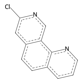 Clc1cc2ccc3cccnc3c2cn1